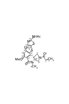 C=CC(=O)N1CC[C@@H](N(C)C(=O)c2cc(Sc3cnc(NC(C)=O)s3)c(C)cc2OC)C1